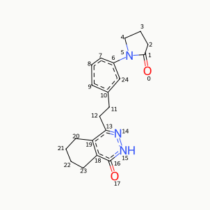 O=C1CCCN1c1cccc(CCc2n[nH]c(=O)c3c2CCCC3)c1